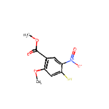 COC(=O)c1cc([N+](=O)[O-])c(S)cc1OC